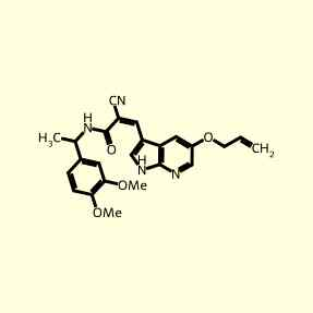 C=CCOc1cnc2[nH]cc(C=C(C#N)C(=O)NC(C)c3ccc(OC)c(OC)c3)c2c1